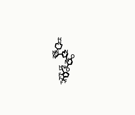 C[C@@H](NC(=O)c1ccc(=O)n(-c2cncc(-c3cnnn3C3CCNCC3)c2)n1)c1cccc(C(F)(F)F)c1F